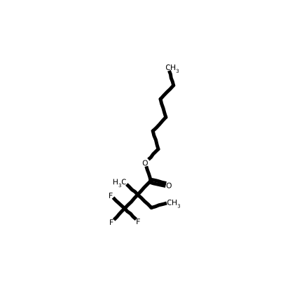 CCCCCCOC(=O)C(C)(CC)C(F)(F)F